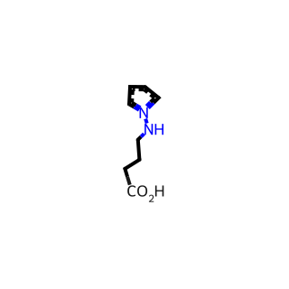 O=C(O)CCCNn1cccc1